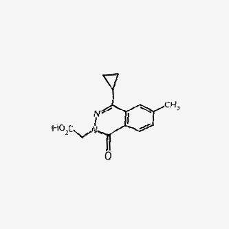 Cc1ccc2c(=O)n(CC(=O)O)nc(C3CC3)c2c1